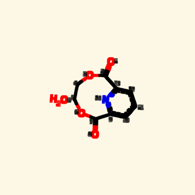 O.O=C1OCCOC(=O)c2cccc1n2